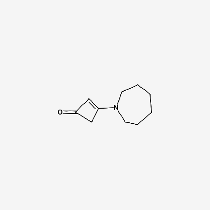 O=C1C=C(N2CCCCCC2)C1